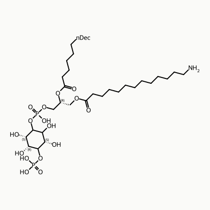 CCCCCCCCCCCCCCCC(=O)O[C@H](COC(=O)CCCCCCCCCCCCN)COP(=O)(O)OC1C(O)[C@H](O)C(OP(=O)(O)O)[C@H](O)[C@@H]1O